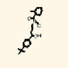 Cc1ccccc1C(=O)N(C=O)CCCC(O)c1ccc(C(C)(C)C)cc1